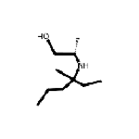 CCCC(C)(CC)N[C@@H](C)CO